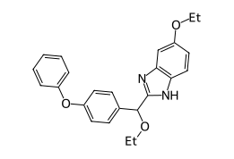 CCOc1ccc2[nH]c(C(OCC)c3ccc(Oc4ccccc4)cc3)nc2c1